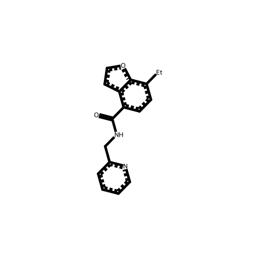 CCc1ccc(C(=O)NCc2ccccn2)c2ccoc12